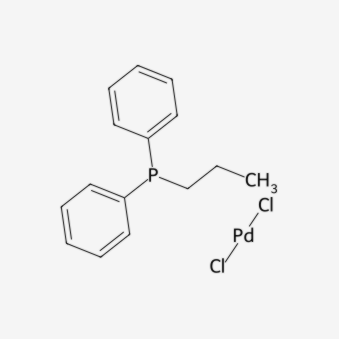 CCCP(c1ccccc1)c1ccccc1.[Cl][Pd][Cl]